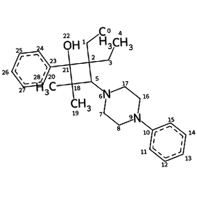 CCC1(CC)C(N2CCN(c3ccccc3)CC2)C(C)(C)C1(O)c1ccccc1